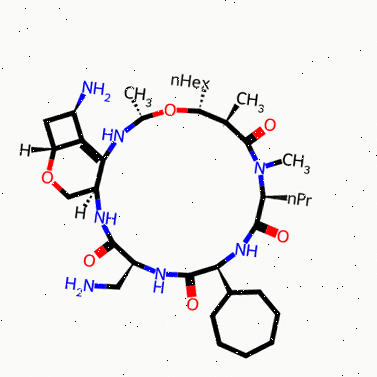 CCCCCC[C@H]1O[C@@H](C)NC2=C3[C@H](N)C[C@H]3OC[C@@H]2NC(=O)[C@H](CN)NC(=O)[C@H](C2CCCCCC2)NC(=O)[C@H](CCC)N(C)C(=O)[C@@H]1C